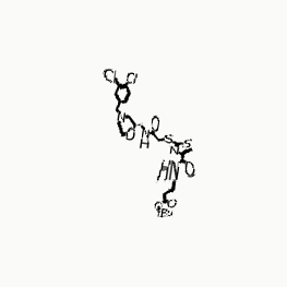 CC(C)(C)OC(=O)CCNC(=O)c1csc(SCC(=O)NC[C@H]2CN(Cc3ccc(Cl)c(Cl)c3)CCO2)n1